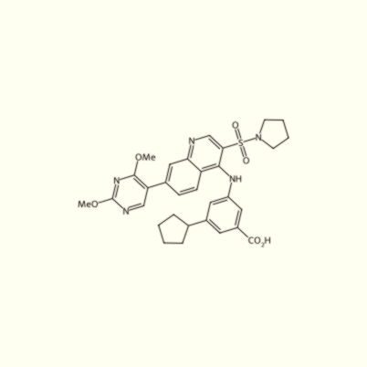 COc1ncc(-c2ccc3c(Nc4cc(C(=O)O)cc(C5CCCC5)c4)c(S(=O)(=O)N4CCCC4)cnc3c2)c(OC)n1